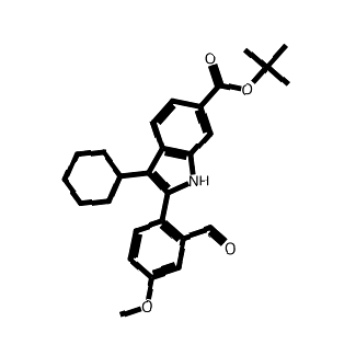 COc1ccc(-c2[nH]c3cc(C(=O)OC(C)(C)C)ccc3c2C2CCCCC2)c(C=O)c1